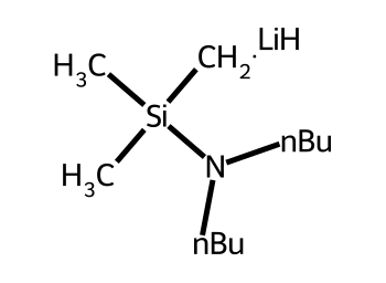 [CH2][Si](C)(C)N(CCCC)CCCC.[LiH]